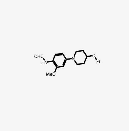 CCOC1CCN(c2ccc(NC=O)c(OC)c2)CC1